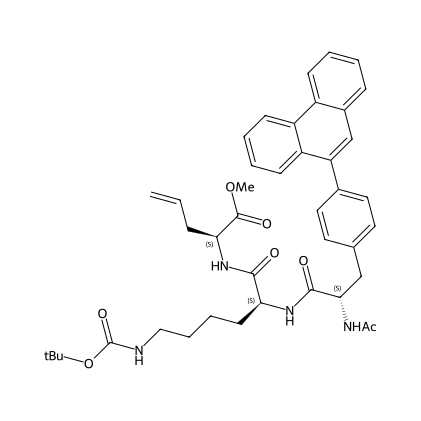 C=CC[C@H](NC(=O)[C@H](CCCCNC(=O)OC(C)(C)C)NC(=O)[C@H](Cc1ccc(-c2cc3ccccc3c3ccccc23)cc1)NC(C)=O)C(=O)OC